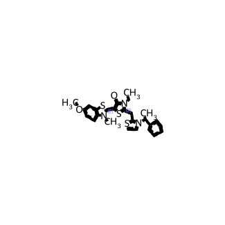 CCn1c(=O)/c(=C2\Sc3cc(OC)ccc3N2C)s/c1=C\c1scc[n+]1C(C)c1ccccc1